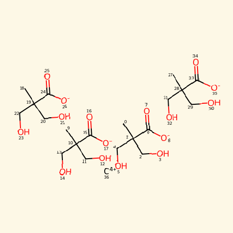 CC(CO)(CO)C(=O)[O-].CC(CO)(CO)C(=O)[O-].CC(CO)(CO)C(=O)[O-].CC(CO)(CO)C(=O)[O-].[C+4]